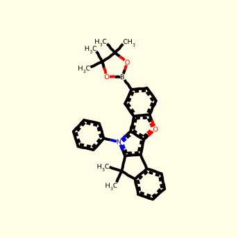 CC1(C)c2ccccc2-c2c1n(-c1ccccc1)c1c2oc2ccc(B3OC(C)(C)C(C)(C)O3)cc21